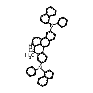 CC1(C)c2cc(N(c3ccccc3)c3cccc4ccccc34)ccc2-c2cc3ccc(N(c4ccccc4)c4cccc5ccccc45)cc3c3cccc1c23